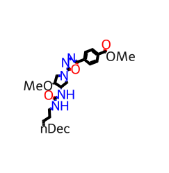 CCCCCCCCCCCCCNC(=O)N[C@H]1CN(c2nnc(-c3ccc(C(=O)OC)cc3)o2)C[C@@H]1OC